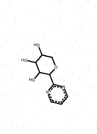 OC1COC(c2ncccn2)C(O)C1O